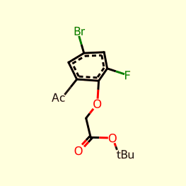 CC(=O)c1cc(Br)cc(F)c1OCC(=O)OC(C)(C)C